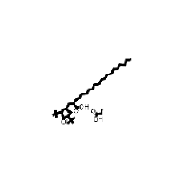 CCC(=O)O.CCCCCCCCCCCCCCCCCCC(Cc1cc(C(C)(C)C)c(O)c(C(C)(C)C)c1)C(=O)O